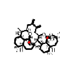 C=C(C[C@H]1O[C@@H]2O[C@]3(C)CC[C@H]4[C@H](C)CC[C@@H]([C@H]1C)[C@@]24OO3)C(=C)C[C@H]1O[C@@H]2O[C@]3(C)CC[C@H]4[C@H](C)CC[C@@H]([C@H]1C)[C@@]24OO3